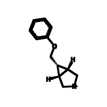 c1ccc(OC[C@@H]2[C@@H]3C[N]C[C@@H]32)cc1